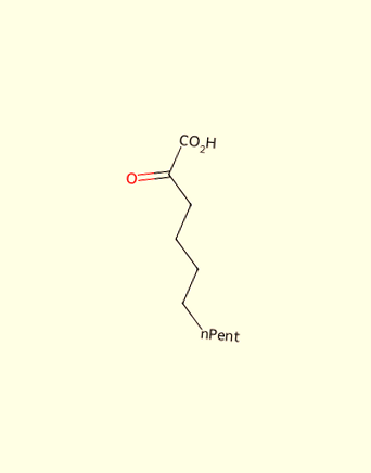 CCCCCCCCCC(=O)C(=O)O